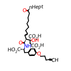 C#CCCCOc1ccc(C[C@H](NC(=O)[C@@H](/C=C/CCCCCCC(=O)CCCCCCC)[C@@](O)(CC(=O)O)C(=O)O)C(=O)O)cc1